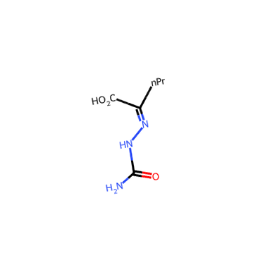 CCCC(=NNC(N)=O)C(=O)O